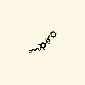 Cc1cc(-c2nc(CN3CCCCC3)co2)cc(C)c1OCCCCl